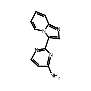 Nc1ccnc(-c2cnc3ccccn23)n1